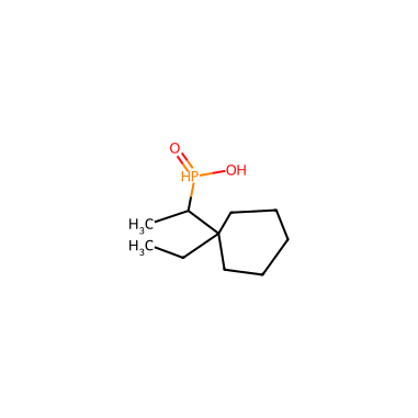 CCC1(C(C)[PH](=O)O)CCCCC1